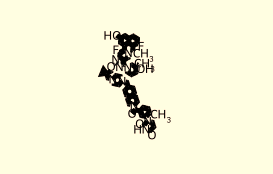 CCc1c(F)ccc2cc(O)cc(-c3ncc4c(N5CCC[C@@](C)(O)C5)nc(OCC5(CN6CCN(CC7CCC8(CC7)CCN(C(=O)c7ccc(C)c(N9CCC(=O)NC9=O)c7)CC8)CC6)CC5)nc4c3F)c12